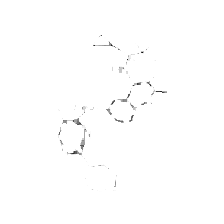 C[C@H]1CCCN(c2ncc(Cl)c(Nc3ccc4c(c3)c3c(c(=O)n4C)OCC(F)(F)[C@H](C4CC4)N3)n2)CC1